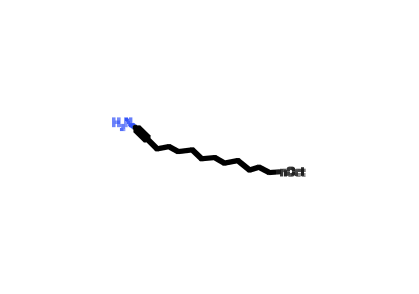 CCCCCCCCCCCCCCCCCCCC#CN